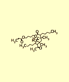 C=CC(=O)OCCCCOC(=O)C(CCCCC)C(C)(C)CC(C)(C)C(CCCCC)C(C)=O